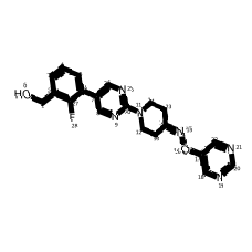 OCc1cccc(-c2cnc(N3CCC(=NOc4cncnc4)CC3)nc2)c1F